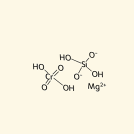 [Mg+2].[O-][Si]([O-])(O)O.[O]=[Cr](=[O])([OH])[OH]